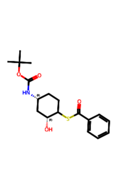 CC(C)(C)OC(=O)N[C@@H]1CCC(SC(=O)c2ccccc2)[C@H](O)C1